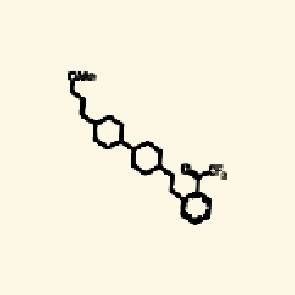 COCC=CC1CCC(C2CCC(CCc3ccccc3C(=O)C(F)(F)F)CC2)CC1